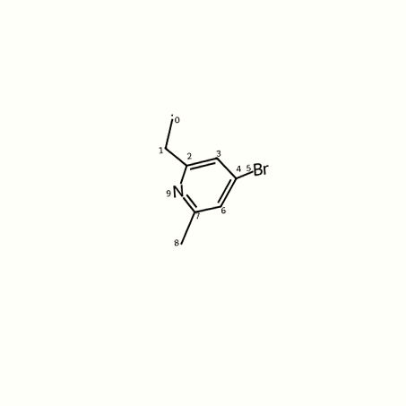 [CH2]Cc1cc(Br)cc(C)n1